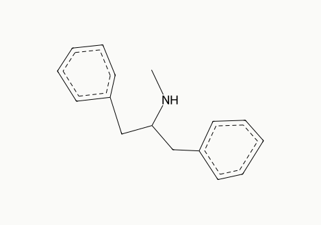 CNC(Cc1ccccc1)Cc1ccccc1